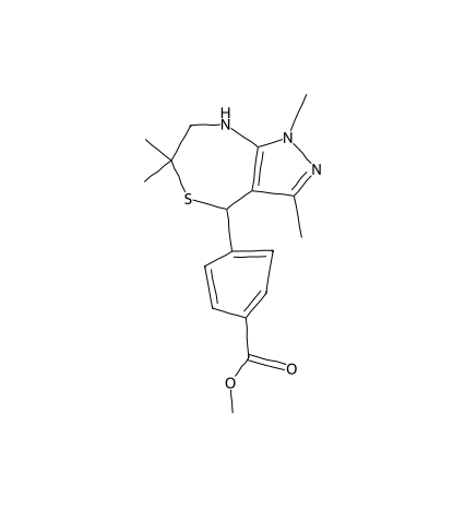 COC(=O)c1ccc(C2SC(C)(C)CNc3c2c(C)nn3C)cc1